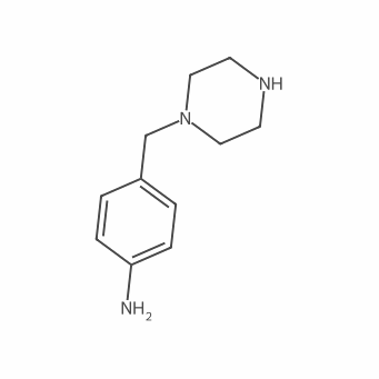 Nc1ccc(CN2CCNCC2)cc1